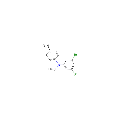 O=C(O)N(c1ccc([N+](=O)[O-])cc1)c1cc(Br)cc(Br)c1